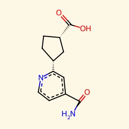 NC(=O)c1ccnc([C@@H]2CC[C@H](C(=O)O)C2)c1